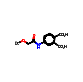 CCOCC(=O)Nc1ccc(C(=O)O)c(C(=O)O)c1